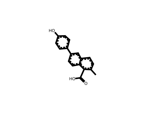 Cc1ccc2cc(-c3ccc(O)cc3)ccc2c1C(=O)O